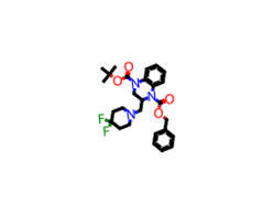 CC(C)(C)OC(=O)N1CC(CN2CCC(F)(F)CC2)N(C(=O)OCc2ccccc2)c2ccccc21